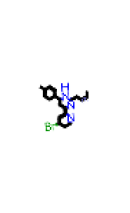 C/C=C\CC1=NC(C2=CC(Br)CC=N2)=CC(C2C=CC(C)=CC2)N1